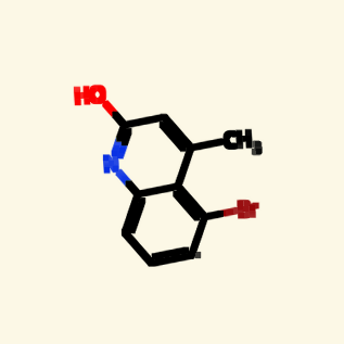 Cc1cc(O)nc2cc[c]c(Br)c12